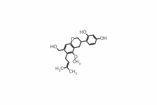 COc1c(CC=C(C)C)c(CO)cc2c1CC(c1ccc(O)cc1O)CO2